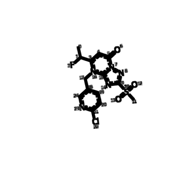 CC(F)c1cc(=O)n2nc(S(C)(=O)=O)nc2n1Cc1ccc(Cl)nc1